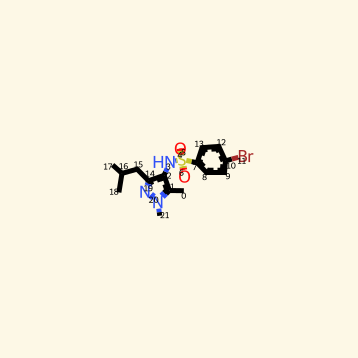 Cc1c(NS(=O)(=O)c2ccc(Br)cc2)c(CC(C)C)nn1C